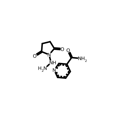 NC(=O)c1cccnc1.NNN1C(=O)CCC1=O